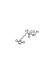 CC(C)C(NC(CCCCCN1C(=O)C=CC1=O)C(F)(F)F)C(=O)O